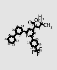 CC(C)CC(C(=O)O)c1cc(-c2ccc(C(F)(F)F)cc2)nc(-c2cccc(-c3ccccc3)c2)c1